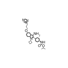 CC(C)OC(=O)Nc1ccc(-c2c(N)c3cc(OCCCn4cncn4)ccc3n2C2CCC2)cc1